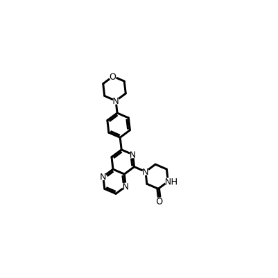 O=C1CN(c2nc(-c3ccc(N4CCOCC4)cc3)cc3nccnc23)CCN1